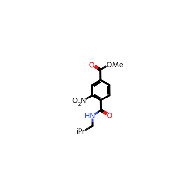 COC(=O)c1ccc(C(=O)NCC(C)C)c([N+](=O)[O-])c1